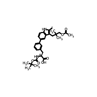 CC(=O)OCC(C)(C)Cc1c(I)[nH]c2ccc(-c3cccc(C[C@H](NC(=O)OC(C)(C)C)C(=O)O)c3)cc12